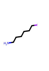 NCCCCCCI